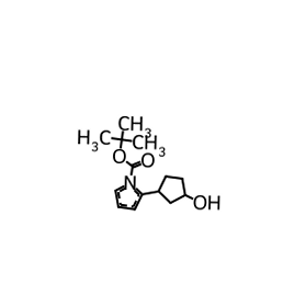 CC(C)(C)OC(=O)n1cccc1C1CCC(O)C1